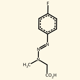 CN(CC(=O)O)/N=N/c1ccc(F)cc1